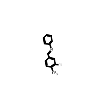 FC(F)(F)c1ccc(/C=N/c2ccccc2)cc1Cl